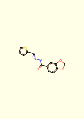 O=C(N/N=C/c1cccs1)c1ccc2c(c1)OCO2